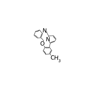 Cc1ccc(OCc2ccccc2)c(-c2cccc(C#N)n2)c1